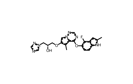 Cc1cc2c(F)c(Oc3ncnn4cc(OC[C@@H](O)Cn5cncn5)c(C)c34)ccc2[nH]1